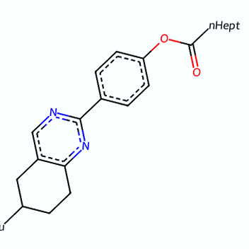 CCCCCCCC(=O)Oc1ccc(-c2ncc3c(n2)CCC(CCCC)C3)cc1